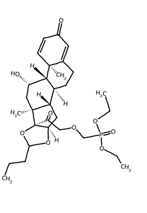 CCCC1O[C@@H]2C[C@H]3[C@@H]4CCC5=CC(=O)C=C[C@]5(C)[C@H]4[C@@H](O)C[C@]3(C)[C@]2(C(=O)COCP(=O)(OCC)OCC)O1